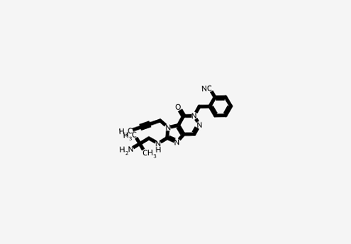 CC#CCn1c(NCC(C)(C)N)nc2cnn(Cc3ccccc3C#N)c(=O)c21